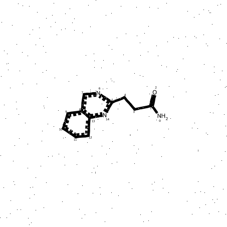 NC(=O)CCc1ncc2ccccc2n1